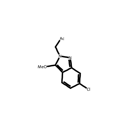 COc1c2ccc(Cl)cc2nn1CC(C)=O